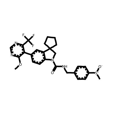 COc1ncnc(C(F)(F)F)c1-c1ccc2c(c1)C1(CCCC1)CN2C(=O)NCc1ccc([S+](C)[O-])cc1